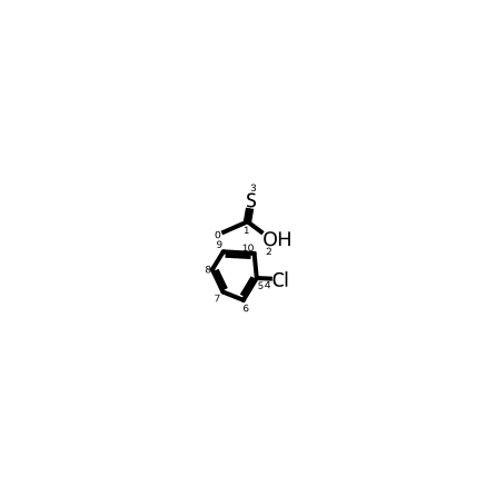 CC(O)=S.Clc1ccccc1